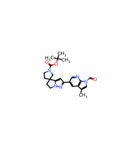 Cc1cn(C=O)c2ncc(-c3cc4n(n3)CCC43CCN(C(=O)OC(C)(C)C)C3)cc12